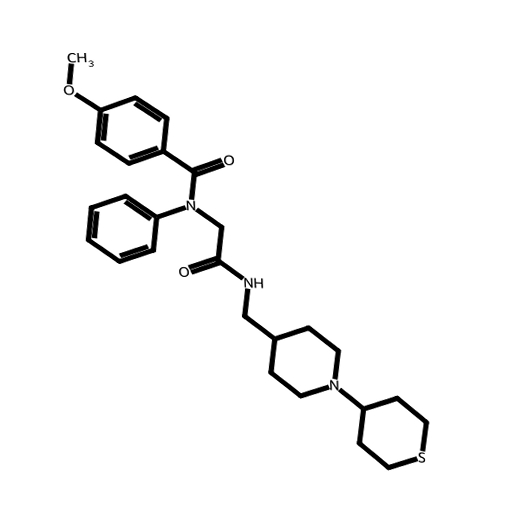 COc1ccc(C(=O)N(CC(=O)NCC2CCN(C3CCSCC3)CC2)c2ccccc2)cc1